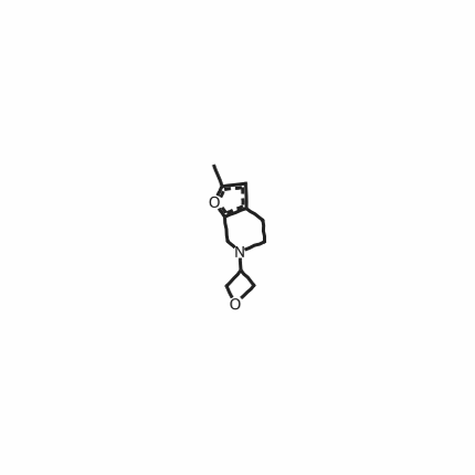 Cc1cc2c(o1)CN(C1COC1)CC2